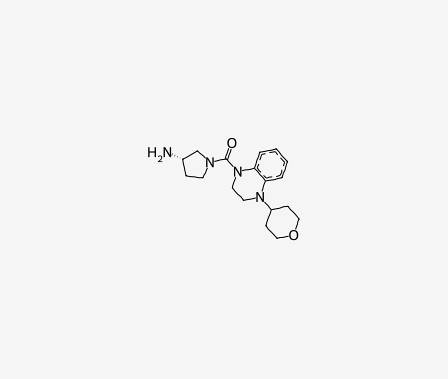 N[C@H]1CCN(C(=O)N2CCN(C3CCOCC3)c3ccccc32)C1